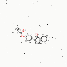 C=CC(=O)Oc1ccc(C(OC)C(=O)c2ccccc2)cc1